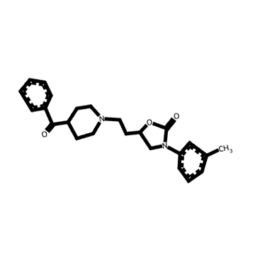 Cc1cccc(N2CC(CCN3CCC(C(=O)c4ccccc4)CC3)OC2=O)c1